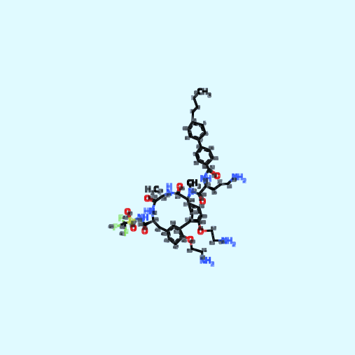 CCCCc1ccc(-c2ccc(C(=O)N[C@@H](CCCN)C(=O)N(C)[C@@H]3C(=O)N[C@@H](C)C(=O)N[C@H](C(=O)NS(=O)(=O)C(F)(F)F)Cc4ccc(OCCN)c(c4)-c4cc3ccc4OCCN)cc2)cc1